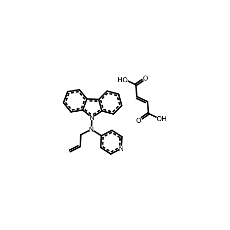 C=CCN(c1ccncc1)n1c2ccccc2c2ccccc21.O=C(O)C=CC(=O)O